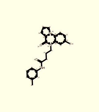 Cc1cccc(NC(=O)CCCn2c(=O)c3cccn3c3ccc(F)cc32)c1